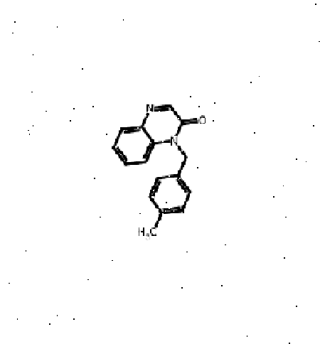 Cc1ccc(Cn2c(=O)cnc3ccccc32)cc1